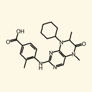 Cc1cc(C(=O)O)ccc1Nc1ncc2c(n1)N(C1CCCCC1)C(C)C(=O)N2C